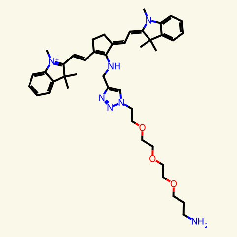 CN1/C(=C/C=C2\CCC(/C=C/C3=[N+](C)c4ccccc4C3(C)C)=C2NCc2cn(CCOCCOCCOCCCN)nn2)C(C)(C)c2ccccc21